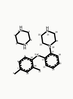 C1CNCCN1.Cc1ccc(Sc2ccccc2N2CCNCC2)c(C)c1